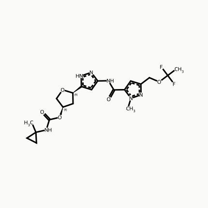 Cn1nc(COC(C)(F)F)cc1C(=O)Nc1cc([C@H]2C[C@@H](OC(=O)NC3(C)CC3)CO2)[nH]n1